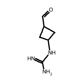 N=C(N)NC1CC(C=O)C1